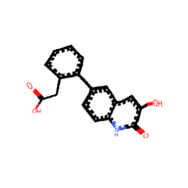 O=C(O)Cc1ccccc1-c1ccc2[nH]c(=O)c(O)cc2c1